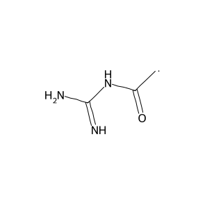 [CH2]C(=O)NC(=N)N